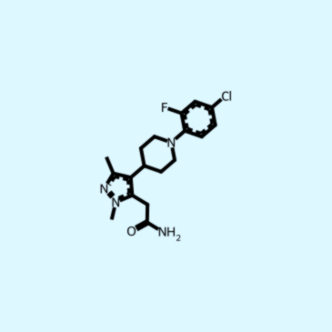 Cc1nn(C)c(CC(N)=O)c1C1CCN(c2ccc(Cl)cc2F)CC1